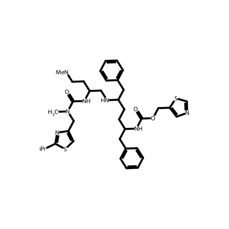 CNCCC(CNC(CCC(Cc1ccccc1)NC(=O)OCc1cncs1)Cc1ccccc1)NC(=O)N(C)Cc1csc(C(C)C)n1